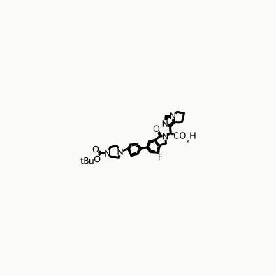 CC(C)(C)OC(=O)N1CCN(c2ccc(-c3cc(F)c4c(c3)C(=O)N(C(C(=O)O)c3ncn5c3CCC5)C4)cc2)CC1